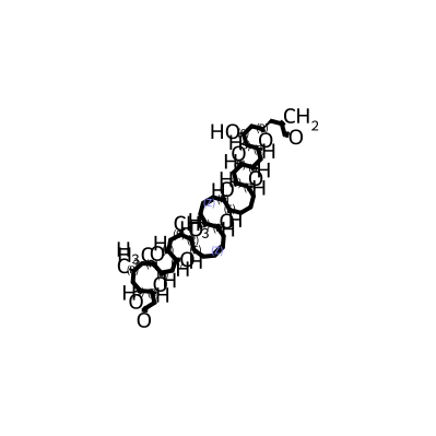 C=C(C=O)C[C@@H]1C[C@H](O)[C@@H]2O[C@@H]3C[C@@H]4O[C@@H]5/C=C\C[C@@H]6O[C@H]7[C@H](C/C=C\C[C@H]6O[C@H]5CCC[C@H]4O[C@H]3C[C@H]2O1)O[C@@H]1C[C@@H]2O[C@@H]3CC(=O)O[C@H]3C[C@@H](C)C[C@@]2(C)O[C@H]1C[C@@H]7C